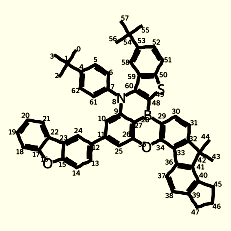 CC(C)(C)c1ccc(N2c3cc(-c4ccc5oc6ccccc6c5c4)cc4c3B(c3ccc5c(c3O4)-c3ccc4c(c3C5(C)C)CCC4)c3sc4ccc(C(C)(C)C)cc4c32)cc1